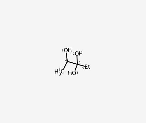 CCC(O)(O)[C](C)O